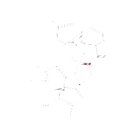 COc1ccc(C(O)(CNC(=O)c2ccccc2O)C(c2ccc(C#N)c(Cl)c2)S(=O)(=O)Cc2ccc(Cl)cc2)cc1F